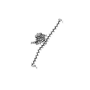 CCCCCCCCCCCCCCCCCCOC(CCCCCCCCCCCCCCCCCC)C(CO)(CO)CO.OCC(CO)(COP(O)O)COP(O)O